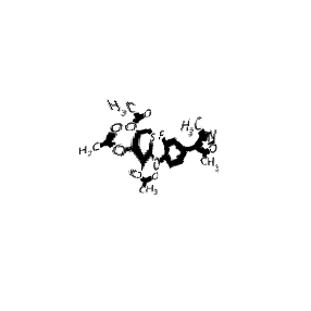 CC(=O)O[C@@H]1[C@@H](OC(C)=O)[C@H](OC(C)=O)CS[C@H]1Oc1ccc(-c2c(C)noc2C)cc1F